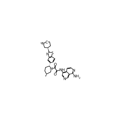 C[C@H]1CC[C@H](c2ccc3sc([C@@H]4CCCN(C)C4)nc3c2)N(C(=O)C(=O)Nc2cncc3c(N)nccc23)C1